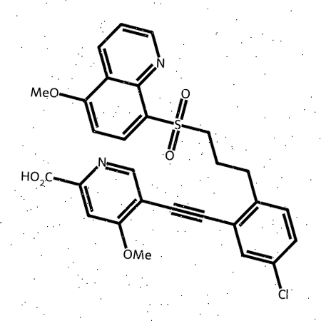 COc1cc(C(=O)O)ncc1C#Cc1cc(Cl)ccc1CCCS(=O)(=O)c1ccc(OC)c2cccnc12